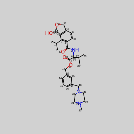 CC(C)c1c(C(=O)N[C@H](C(=O)OCc2cccc(CN3CCN(C)CC3)c2)C(C)C)ccc2c1B(O)OC2